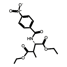 CCOC(=O)C(C)[C@H](NC(=O)c1ccc([N+](=O)[O-])cc1)C(=O)OCC